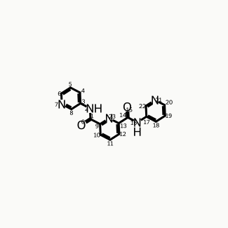 O=C(Nc1cccnc1)c1cccc(C(=O)Nc2cccnc2)n1